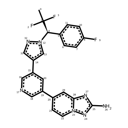 CC(F)(F)[C@@H](c1ccc(F)cc1)n1cc(-c2cncc(-c3ccn4nc(N)nc4c3)c2)cn1